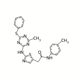 Cc1ccc(NC(=O)Cc2cnc(Nc3nc(C)nc(Sc4ccccc4)n3)s2)cc1